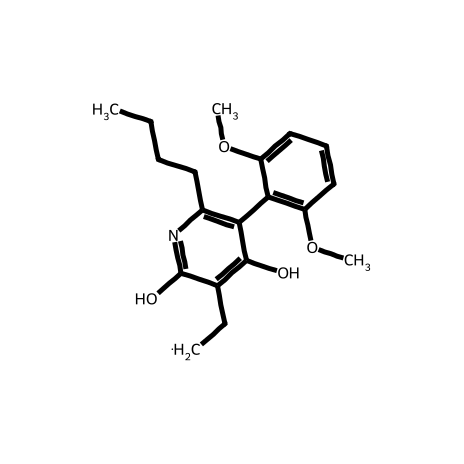 [CH2]Cc1c(O)nc(CCCC)c(-c2c(OC)cccc2OC)c1O